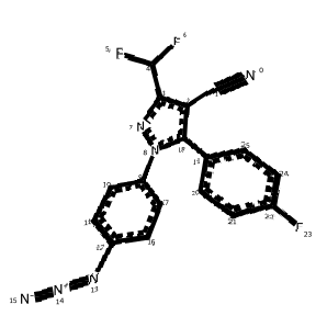 N#Cc1c(C(F)F)nn(-c2ccc(N=[N+]=[N-])cc2)c1-c1ccc(F)cc1